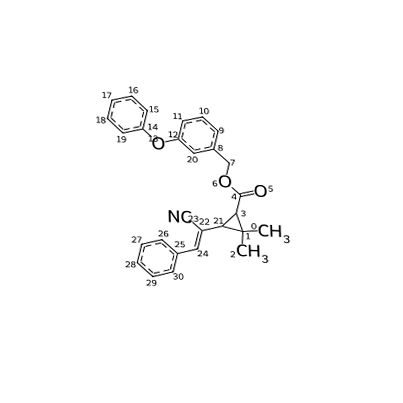 CC1(C)C(C(=O)OCc2cccc(Oc3ccccc3)c2)C1C(C#N)=Cc1ccccc1